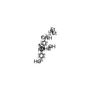 CCN(CC)CCCNC(=O)c1ccc2c(c1)sc1nc(-c3ccc(CO)cc3)cn12.O=CO